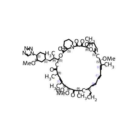 C=C[C@@H]1/C=C/C=C/C=C(\C)[C@@H](OC)C[C@@H]2CC[C@@H](C)[C@@](O)(O2)C(=O)C(=O)N2CCCC[C@H]2C(=O)O[C@H]([C@H](C)C[C@@H]2CC[C@H](n3cnnn3)[C@H](OC)C2)CC(=O)[C@H](C)/C=C(\C)[C@@H](O)[C@@H](OC)C(=O)[C@H](C)C1